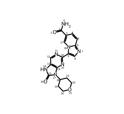 NC(=O)c1ccc2ncc(-c3ncc4[nH]c(=O)n(C5CCOCC5)c4n3)n2c1